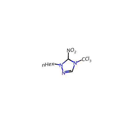 CCCCCCN1N=CN(C(Cl)(Cl)Cl)C1[N+](=O)[O-]